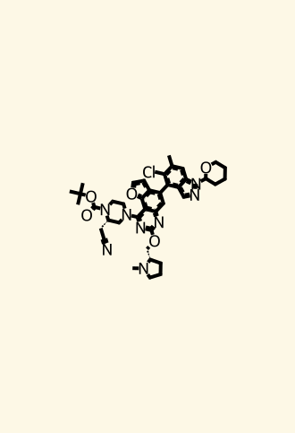 Cc1cc2c(cnn2C2CCCCO2)c(-c2cc3nc(OC[C@@H]4CCCN4C)nc(N4CCN(C(=O)OC(C)(C)C)[C@@H](CC#N)C4)c3c3occc23)c1Cl